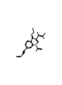 C=CC#Cc1ccc(C(=N/CC)/C(=C\NC(=C)C)C(C)=C(C)C)cc1